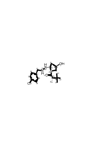 C[C@H](C(=O)N1C[C@H](O)C[C@H]1NNCc1ccc(Cl)cc1)C(C)(C)C